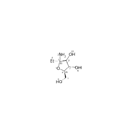 CC[C@@]1(N)O[C@H](CO)C(O)C1O